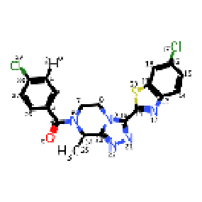 [2H]c1cc(C(=O)N2CCn3c(-c4nc5ccc(Cl)cc5s4)nnc3[C@H]2C)ccc1Cl